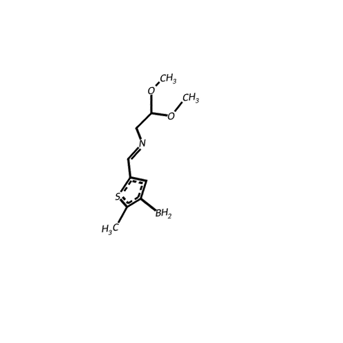 Bc1cc(/C=N/CC(OC)OC)sc1C